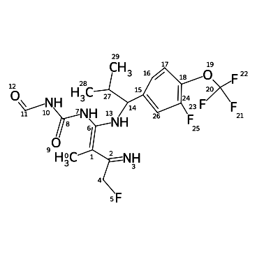 C/C(C(=N)CF)=C(\NC(=O)NC=O)NC(c1ccc(OC(F)(F)F)c(F)c1)C(C)C